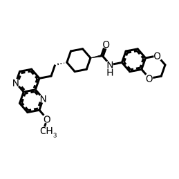 COc1ccc2nccc(CC[C@H]3CC[C@H](C(=O)Nc4ccc5c(c4)OCCO5)CC3)c2n1